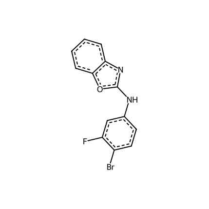 Fc1cc(Nc2nc3ccccc3o2)ccc1Br